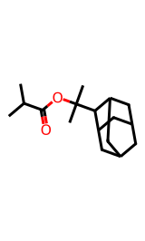 CC(C)C(=O)OC(C)(C)C1C2CC3CC(C2)CC1C3